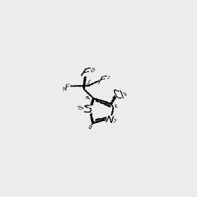 FC(F)(F)c1scnc1Cl